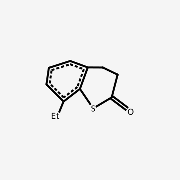 CCc1cccc2c1SC(=O)CC2